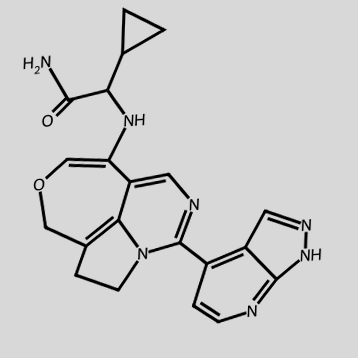 NC(=O)C(NC1=COCC2=C3C1=CN=C(c1ccnc4[nH]ncc14)N3CC2)C1CC1